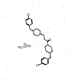 Cl.Cl.Cl.O=C(CCN1CCN(Cc2ccc(Cl)cc2)CC1)N1CCN(Cc2ccc(Cl)cc2)CC1